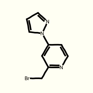 BrCc1cc(-n2cccn2)ccn1